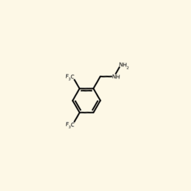 NNCc1ccc(C(F)(F)F)cc1C(F)(F)F